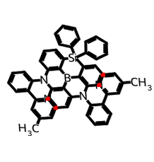 Cc1ccnc(-c2ccccc2N2c3cccc4c3B3c5c2cccc5[Si](c2ccccc2)(c2ccccc2)c2cccc(c23)N4c2ccccc2-c2cc(C)ccn2)c1